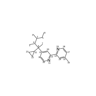 CCC(C)C(C)C(C)(c1ccnc(-c2cc(C)ccn2)c1)C1CC1